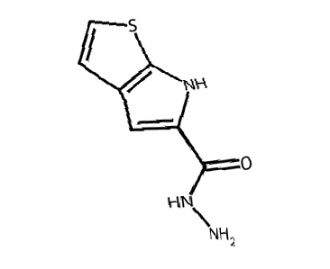 NNC(=O)c1cc2ccsc2[nH]1